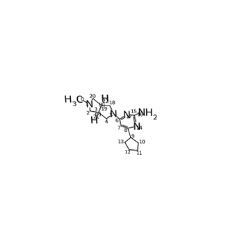 CN1C[C@@H]2CN(c3cc(C4CCCC4)nc(N)n3)C[C@@H]2C1